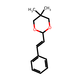 CC1(C)COC(C=Cc2ccccc2)OC1